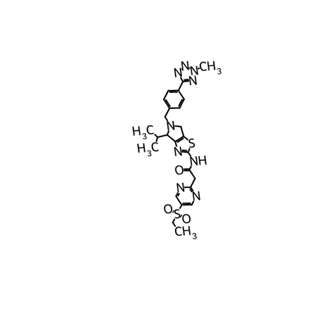 CCS(=O)(=O)c1cnc(CC(=O)Nc2nc3c(s2)CN(Cc2ccc(-c4nnn(C)n4)cc2)C3C(C)C)nc1